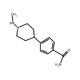 CNN1CCC(c2ccc(C(N)=O)cc2)CC1